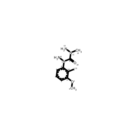 COc1cccc(N(N)C(=O)N(C)N)c1I